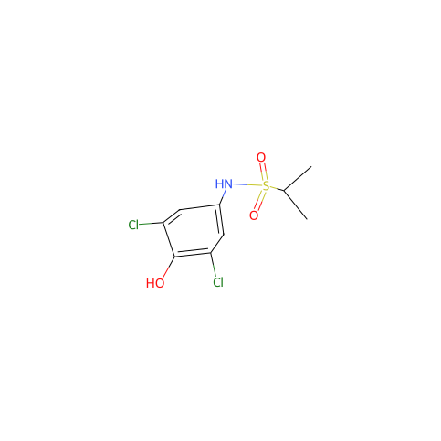 CC(C)S(=O)(=O)Nc1cc(Cl)c(O)c(Cl)c1